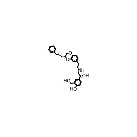 OCc1cc([C@@H](O)CNCCc2ccc3c(c2)O[C@@H](COCc2ccccc2)CO3)ccc1O